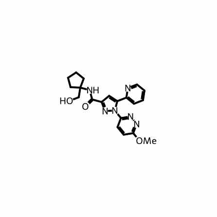 COc1ccc(-n2nc(C(=O)NC3(CO)CCCC3)cc2-c2ccccn2)nn1